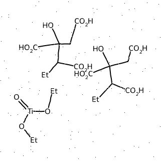 CCC(C(=O)O)C(O)(CC(=O)O)C(=O)O.CCC(C(=O)O)C(O)(CC(=O)O)C(=O)O.CC[O][Ti](=[O])[O]CC